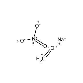 C=O.O=[N+]([O-])[O-].[Na+]